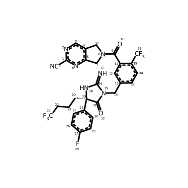 N#Cc1ncc2c(n1)CN(C(=O)c1cc(CN3C(=N)N[C@](CCCC(F)(F)F)(c4ccc(F)cc4)C3=O)ccc1C(F)(F)F)C2